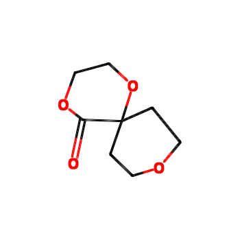 O=C1OCCOC12CCOCC2